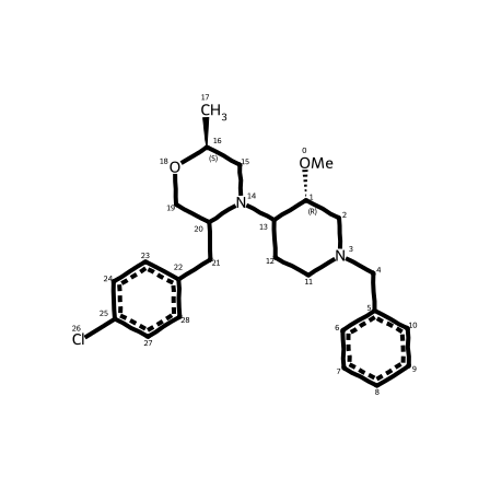 CO[C@@H]1CN(Cc2ccccc2)CCC1N1C[C@H](C)OCC1Cc1ccc(Cl)cc1